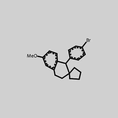 COc1ccc2c(c1)CCC1(CCCC1)C2c1ccc(Br)cc1